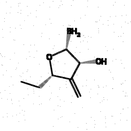 B[C@H]1O[C@@H](CC)C(=C)[C@H]1O